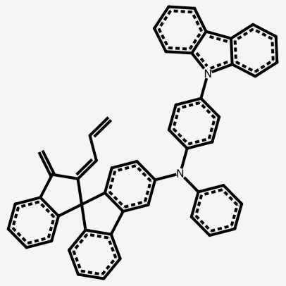 C=C/C=C1\C(=C)c2ccccc2C12c1ccccc1-c1cc(N(c3ccccc3)c3ccc(-n4c5ccccc5c5ccccc54)cc3)ccc12